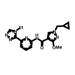 CCn1cnnc1-c1cccc(NC(=O)c2cn(CC3CC3)nc2OC)n1